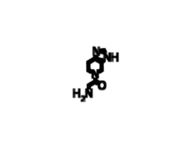 NCC(=O)N1CCc2nc[nH]c2C1